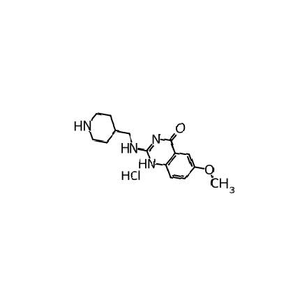 COc1ccc2[nH]c(NCC3CCNCC3)nc(=O)c2c1.Cl